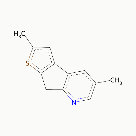 Cc1cnc2c(c1)-c1cc(C)sc1C2